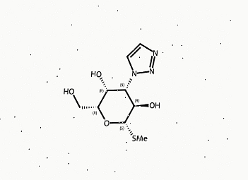 CS[C@@H]1O[C@H](CO)[C@H](O)[C@H](n2ccnn2)[C@H]1O